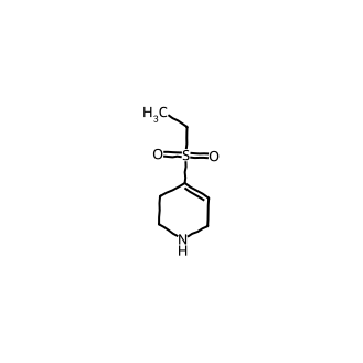 CCS(=O)(=O)C1=CCNCC1